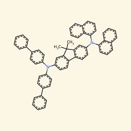 CC1(C)c2cc(N(c3ccc(-c4ccccc4)cc3)c3ccc(-c4ccccc4)cc3)ccc2-c2ccc(N(c3cccc4ccccc34)c3cccc4ccccc34)cc21